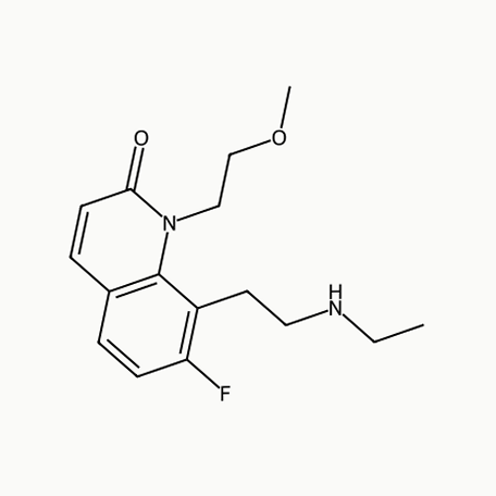 CCNCCc1c(F)ccc2ccc(=O)n(CCOC)c12